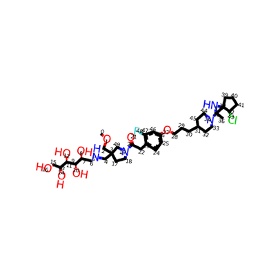 COCC1(CNC[C@H](O)[C@@H](O)[C@H](O)C(O)CO)CCN(C(=O)Cc2ccc(OCCCC3CCN(C4(C)NC45CCCC5Cl)CC3)cc2F)C1